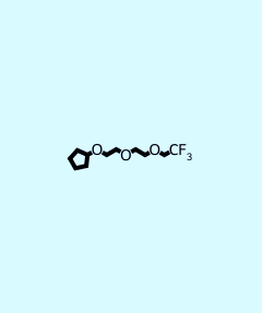 FC(F)(F)COCCOCCOC1CCCC1